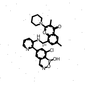 Cc1cc([C@H](C)Nc2cccnc2-c2cc(Cl)c3c(c2)C=NOB3O)c2oc(N3CCCCC3)c(C)c(=O)c2c1